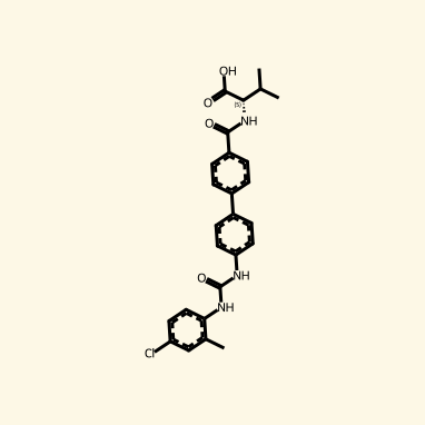 Cc1cc(Cl)ccc1NC(=O)Nc1ccc(-c2ccc(C(=O)N[C@H](C(=O)O)C(C)C)cc2)cc1